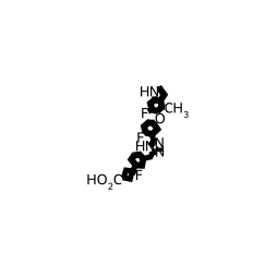 Cc1c(Oc2ccc(F)c(-c3nnc(Cc4cccc(C5(F)CC(C(=O)O)C5)c4)[nH]3)c2)c(F)cc2[nH]ccc12